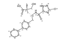 C[C@@](CO)(C[C@@H](Cc1ccc(-c2ccccc2)cc1)NC(=O)c1nc(Cl)n[nH]1)C(=O)O